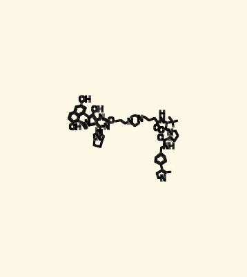 C#Cc1c(O)ccc2cc(O)cc(-c3ncc4c(N5CC6CCC(C5)N6)nc(OCCCN5CCN(CCCC(=O)NC(C(=O)N6CCC[C@H]6C(=O)NCc6ccc(C7=C(C)N=CC7)cc6)C(C)(C)C)CC5)nc4c3O)c12